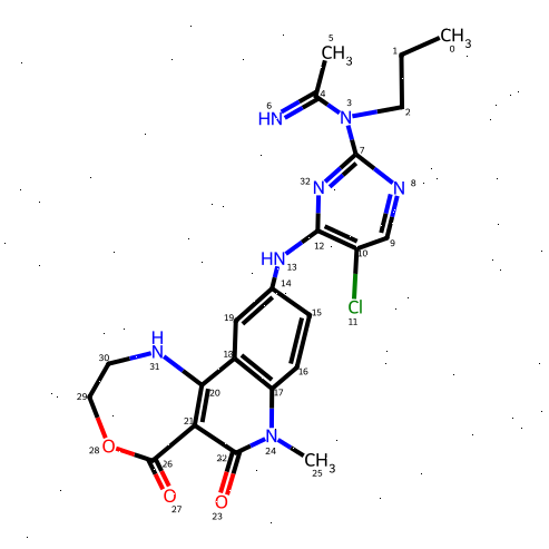 CCCN(C(C)=N)c1ncc(Cl)c(Nc2ccc3c(c2)c2c(c(=O)n3C)C(=O)OCCN2)n1